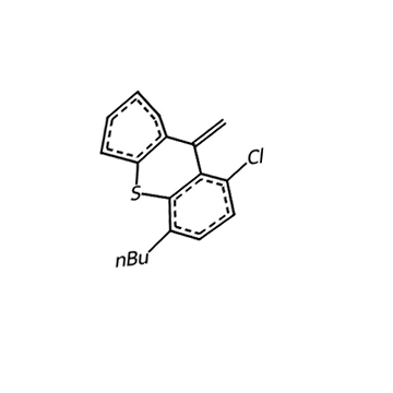 C=C1c2ccccc2Sc2c(CCCC)ccc(Cl)c21